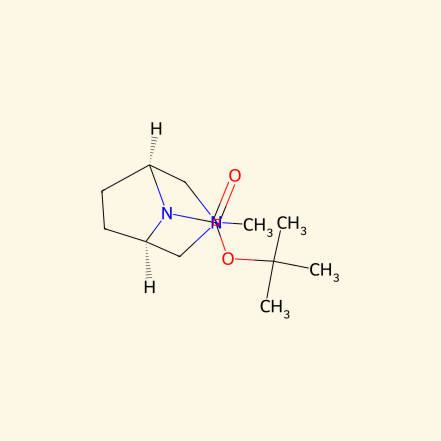 CN1C[C@H]2CC[C@@H](C1)N2C(=O)OC(C)(C)C